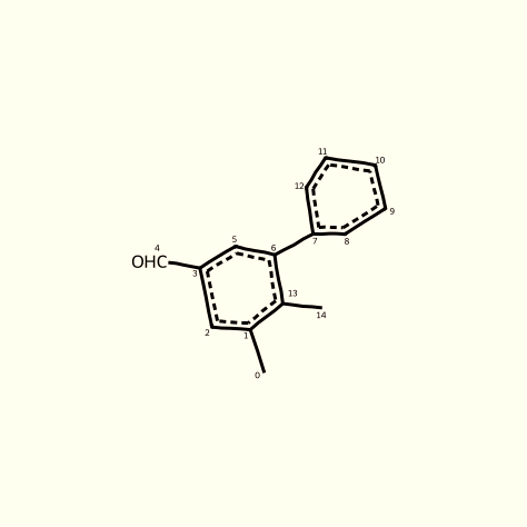 Cc1cc(C=O)cc(-c2ccccc2)c1C